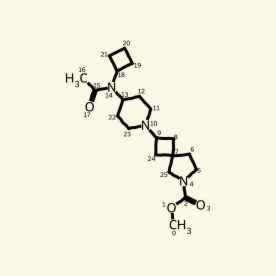 COC(=O)N1CCC2(CC(N3CCC(N(C(C)=O)C4CCC4)CC3)C2)C1